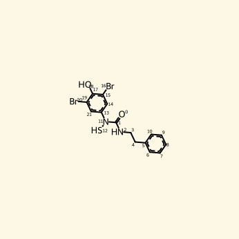 O=C(NCCc1ccccc1)N(S)c1cc(Br)c(O)c(Br)c1